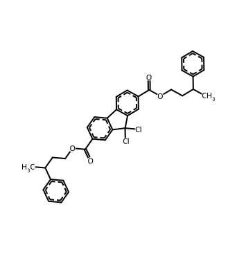 CC(CCOC(=O)c1ccc2c(c1)C(Cl)(Cl)c1cc(C(=O)OCCC(C)c3ccccc3)ccc1-2)c1ccccc1